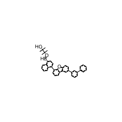 CC(C)(O)C(C)(C)OBc1ccc(-c2cccc3c2oc2ccc(-c4cccc(-c5ccccc5)c4)cc23)c2ccccc12